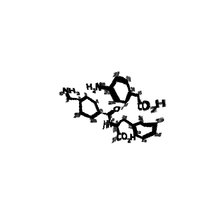 NC[C@H]1CC[C@H](C(=O)N[C@@H](Cc2ccccc2)C(=O)O)CC1.Nc1ccc(CC(=O)O)cc1